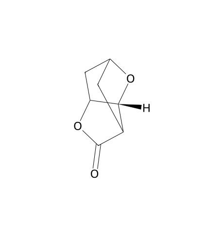 O=C1OC2CC3CC1[C@H]2O3